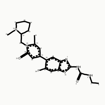 CCNC(=O)Nc1nc2cc(-c3cc(C)n(CC4CCCCN4C)c(=O)c3)c(F)cc2s1